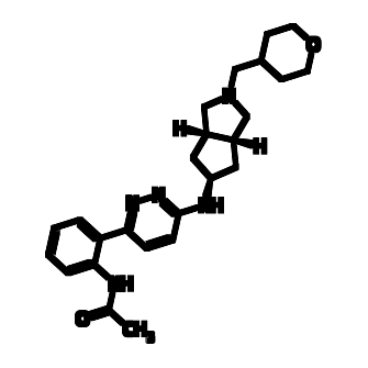 CC(=O)Nc1ccccc1-c1ccc(N[C@H]2C[C@@H]3CN(CC4CCOCC4)C[C@@H]3C2)nn1